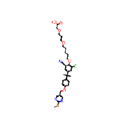 CSc1ncc(COc2ccc(C(C)(C)c3cc(Cl)c(OCCCCCOCCCOCC(=O)O)c(C#N)c3)cc2)cn1